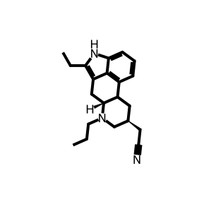 CCCN1C[C@H](CC#N)CC2c3cccc4[nH]c(CC)c(c34)C[C@H]21